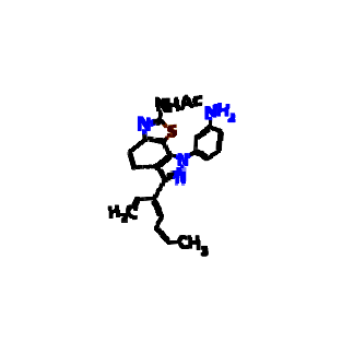 C=C/C(=C\C=C/C)c1nn(-c2cccc(N)c2)c2c1CCc1nc(NC(C)=O)sc1-2